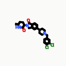 C=C1CCC(N2Cc3cc(C4CCN(Cc5ccc(Cl)c(Cl)c5)CC4)ccc3C2=O)C(=O)N1